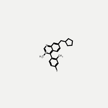 Cc1cc(F)ccc1-c1c2ccc(CC3CCCC3)cc2nc[n+]1C